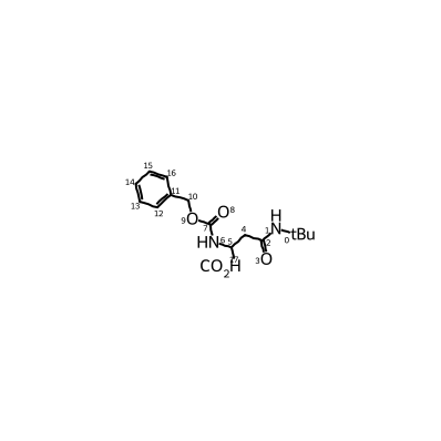 CC(C)(C)NC(=O)CC(NC(=O)OCc1ccccc1)C(=O)O